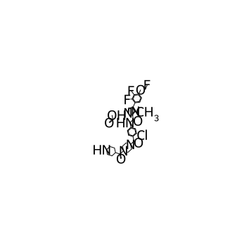 Cn1c(-c2ccc(OCF)c(F)c2F)cnc1C(=O)Nc1ccc(C(=O)N2CCN(C(=O)C3CCNCC3)CC2)c(Cl)c1.O=CO